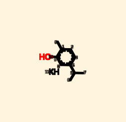 Cc1ccc(C(C)C)cc1O.[KH]